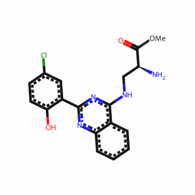 COC(=O)[C@@H](N)CNc1nc(-c2cc(Cl)ccc2O)nc2ccccc12